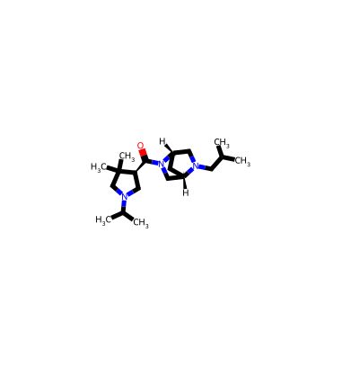 CC(C)CN1C[C@@H]2C[C@H]1CN2C(=O)[C@H]1CN(C(C)C)CC1(C)C